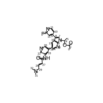 CC(=O)OC(C)n1cc(-c2ccnc(F)c2)c2cc(-c3cncc(NC(=O)/C=C/CN(C)C)c3)cnc21